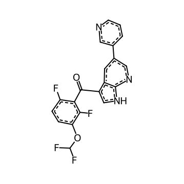 O=C(c1c(F)ccc(OC(F)F)c1F)c1c[nH]c2ncc(-c3cccnc3)cc12